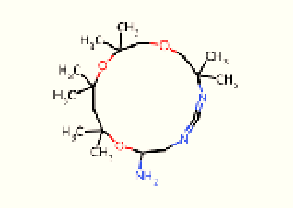 CC1(C)COCC(C)(C)OC(C)(C)CC(C)(C)OC(N)CN=C=N1